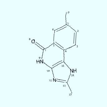 Cc1ccc2c(c1)c(=O)[nH]c1nc(C)[nH]c12